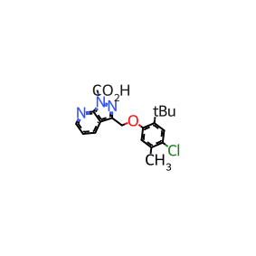 Cc1cc(OCc2nn(C(=O)O)c3ncccc23)c(C(C)(C)C)cc1Cl